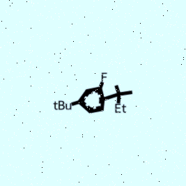 CCC(C)(C)c1ccc(C(C)(C)C)cc1F